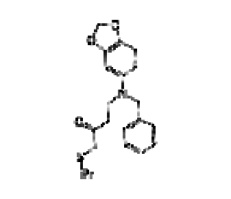 CC(C)SCC(=O)CCN(Cc1ccccc1)c1ccc2c(c1)OCO2